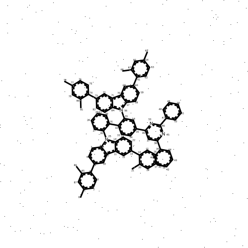 Cc1ccc(-c2ccc3c(c2)c2cc(-c4ccc(C)cc4C)ccc2n3-c2ccccc2-c2ccc(-c3cc(-c4ccccc4)nc(-c4ccccc4)n3)cc2-n2c3ccc(-c4ccc(C)cc4C)cc3c3cc(-c4ccc(C)cc4C)ccc32)c(C)c1